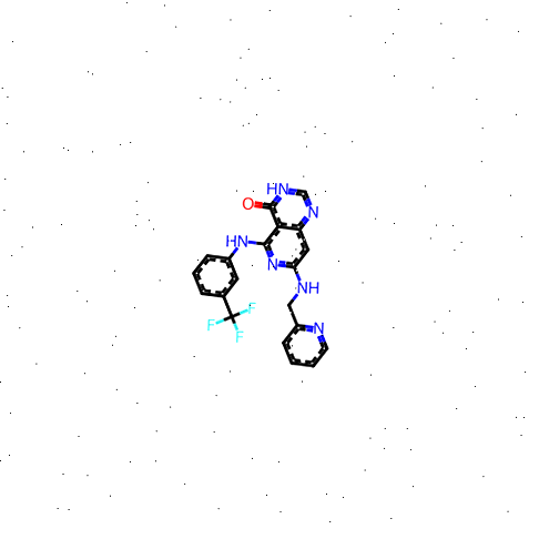 O=c1[nH]cnc2cc(NCc3ccccn3)nc(Nc3cccc(C(F)(F)F)c3)c12